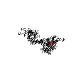 CSCC[C@H](NC(=O)[C@H](CC(=O)O)NC(=O)[C@@H](NC(=O)[C@@H]1CCCN1)C(C)C)C(=O)N[C@@H](CO)C(=O)N[C@@H](C)C(=O)N[C@@H](C)C(=O)N[C@@H](C)C(=O)NCC(=O)N[C@@H](CO)C(=O)N[C@@H](CC(C)C)C(=O)NCC(=O)N[C@@H](C)C(=O)N[C@H](C(=O)N[C@@H](CC(C)C)C(=O)N[C@@H](CCC(N)=O)C(=O)N[C@@H](CCC(N)=O)C(=O)N[C@@H](CC(C)C)C(=O)N[C@@H](CCC(N)=O)C(=O)N[C@@H](C)C(=O)O)C(C)C